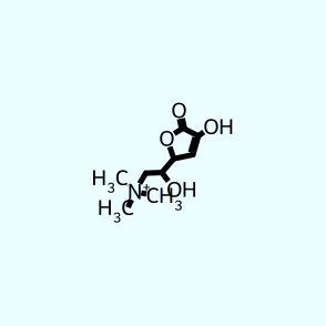 C[N+](C)(C)CC(O)C1C=C(O)C(=O)O1